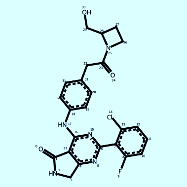 O=C1NCc2nc(-c3c(F)cccc3Cl)nc(Nc3ccc(CC(=O)N4CCC4CO)cc3)c21